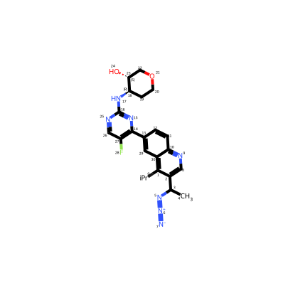 CC(C)c1c(C(C)N=[N+]=[N-])cnc2ccc(-c3nc(N[C@@H]4CCOC[C@H]4O)ncc3F)cc12